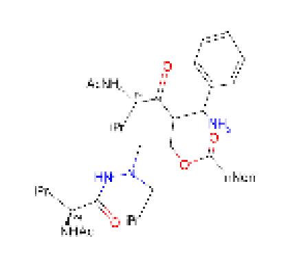 CCCCCCCCCC(=O)OC(CN(CC(C)C)NC(=O)[C@@H](NC(C)=O)C(C)C)C(C(=O)[C@@H](NC(C)=O)C(C)C)C(N)c1ccccc1